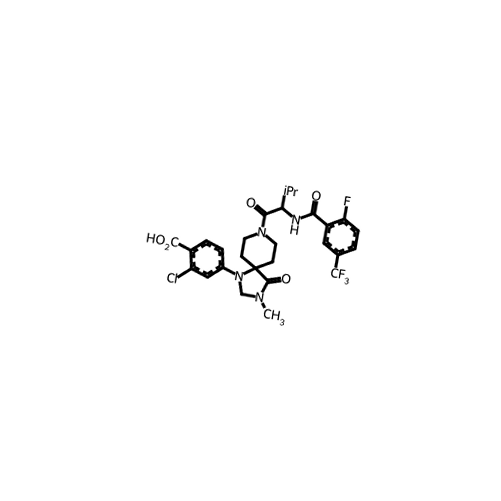 CC(C)C(NC(=O)c1cc(C(F)(F)F)ccc1F)C(=O)N1CCC2(CC1)C(=O)N(C)CN2c1ccc(C(=O)O)c(Cl)c1